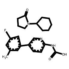 Cc1cc(F)cc(-c2ccc(NC(=O)O)nc2)c1.O=C1CCCN1C1CCCCC1